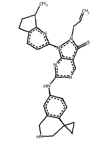 C=CCn1c(=O)c2cnc(Nc3ccc4c(c3)CNCC43CC3)nc2n1-c1ccc2c(n1)C(C)CC2